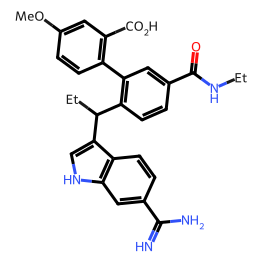 CCNC(=O)c1ccc(C(CC)c2c[nH]c3cc(C(=N)N)ccc23)c(-c2ccc(OC)cc2C(=O)O)c1